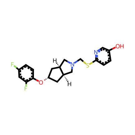 Oc1ccc(SCN2C[C@H]3C[C@H](Oc4ccc(F)cc4F)C[C@H]3C2)nc1